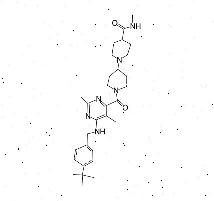 CNC(=O)C1CCN(C2CCN(C(=O)c3nc(C)nc(NCc4ccc(C(C)(C)C)cc4)c3C)CC2)CC1